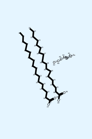 CCCCCCCCCCCCCCCCCC(=O)[O-].CCCCCCCCCCCCCCCCCC(=O)[O-].[Fe+3].[Fe+3].[Mg+2].[O-2].[O-2].[O-2]